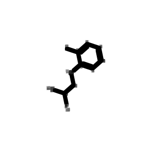 Cc1ccccc1OCC(F)F